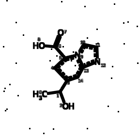 CC(O)c1cc(C(=O)O)n2ccnc2c1